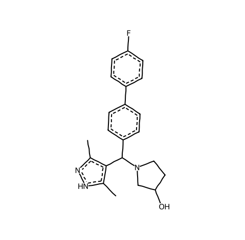 Cc1n[nH]c(C)c1C(c1ccc(-c2ccc(F)cc2)cc1)N1CCC(O)C1